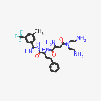 Cc1cc(C(=N)NC(=O)C(CCc2ccccc2)NC(=O)C(N)CC(=O)N(CCN)CCN)cc(C(F)(F)F)c1